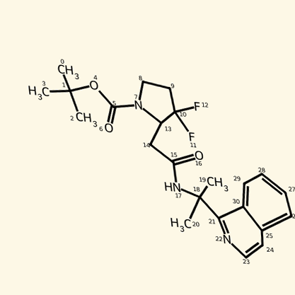 CC(C)(C)OC(=O)N1CCC(F)(F)C1CC(=O)NC(C)(C)c1nccc2ccccc12